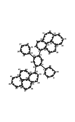 c1ccc(-c2cc(-c3ccc4ccc5cccc6ccc3c4c56)c(-c3ccccc3)cc2-c2ccc3ccc4cccc5ccc2c3c45)cc1